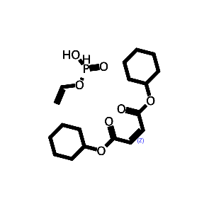 C=CO[PH](=O)O.O=C(/C=C\C(=O)OC1CCCCC1)OC1CCCCC1